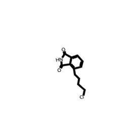 O=C1NC(=O)c2c(CCCCCl)cccc21